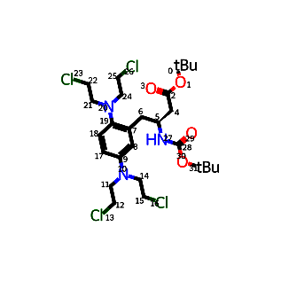 CC(C)(C)OC(=O)C[C@H](Cc1cc(N(CCCl)CCCl)ccc1N(CCCl)CCCl)NC(=O)OC(C)(C)C